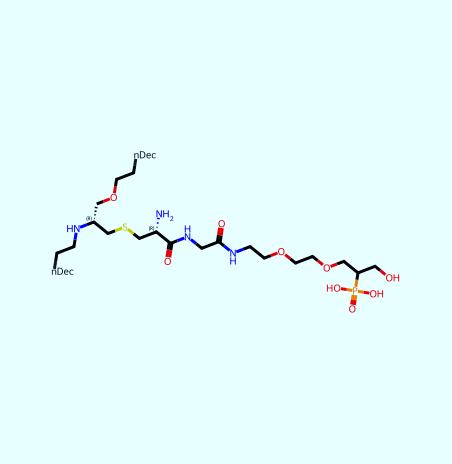 CCCCCCCCCCCCN[C@H](COCCCCCCCCCCCC)CSC[C@H](N)C(=O)NCC(=O)NCCOCCOCC(CO)P(=O)(O)O